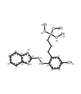 CCO[Si](CCCc1cc(C)ccc1SSc1nc2ccccc2s1)(OCC)OCC